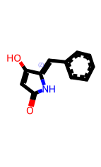 O=C1C=C(O)/C(=C/c2ccccc2)N1